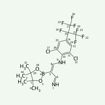 CC1(C)OB(/C(C=N)=C/Nc2c(Cl)cc(C(F)(C(F)(F)F)C(F)(F)F)cc2Cl)OC1(C)C